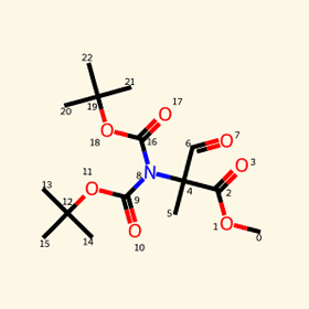 COC(=O)C(C)(C=O)N(C(=O)OC(C)(C)C)C(=O)OC(C)(C)C